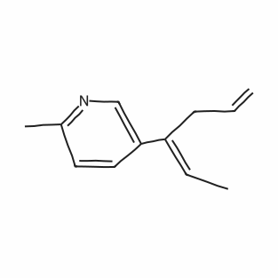 C=CC/C(=C\C)c1ccc(C)nc1